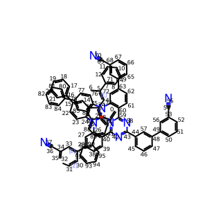 C=Cc1c(/C=C(\C)c2ccccc2)c2cc(-c3ccccc3)ccc2n1-c1cc(C(/C=C\C)=C/C(=C)C#N)ccc1-c1nc(-c2cccc(-c3cccc(C#N)c3)c2)nc(-c2ccc(-c3cccc(C#N)c3)cc2-n2c3ccc(-c4ccccc4)cc3c3cc(-c4ccccc4)ccc32)n1